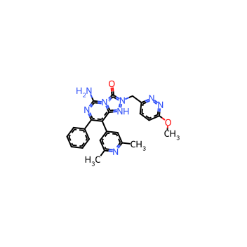 COc1ccc(Cn2[nH]c3c(-c4cc(C)nc(C)c4)c(-c4ccccc4)nc(N)[n+]3c2=O)nn1